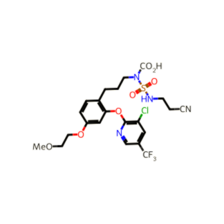 COCCOc1ccc(CCCN(C(=O)O)S(=O)(=O)NCCC#N)c(Oc2ncc(C(F)(F)F)cc2Cl)c1